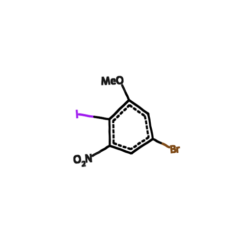 COc1cc(Br)cc([N+](=O)[O-])c1I